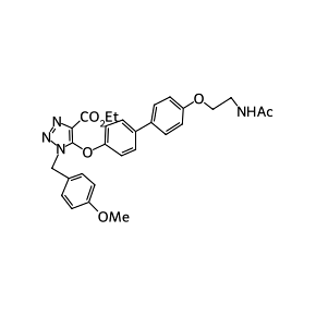 CCOC(=O)c1nnn(Cc2ccc(OC)cc2)c1Oc1ccc(-c2ccc(OCCNC(C)=O)cc2)cc1